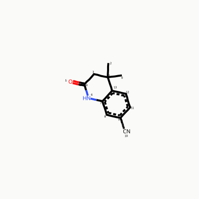 CC1(C)CC(=O)Nc2cc(C#N)ccc21